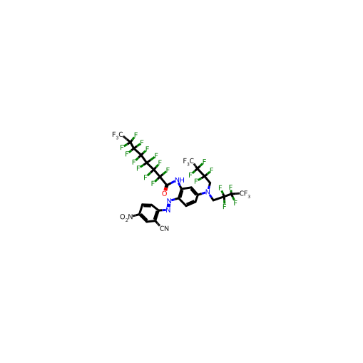 N#Cc1cc([N+](=O)[O-])ccc1/N=N/c1ccc(N(CC(F)(F)C(F)(F)C(F)(F)F)CC(F)(F)C(F)(F)C(F)(F)F)cc1NC(=O)C(F)(F)C(F)(F)C(F)(F)C(F)(F)C(F)(F)C(F)(F)C(F)(F)F